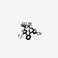 CCOC(=O)CCn1cc(-c2ccccc2C2CN(C(=O)OC(C)(C)C)Cc3sc(C#N)cc32)c(C(F)(F)F)n1